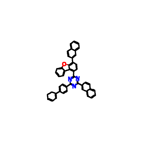 C1=CCCC(c2ccc(-c3nc(-c4ccc5ccccc5c4)nc(-c4ccc(-c5ccc6ccccc6c5)c5oc6ccccc6c45)n3)cc2)=C1